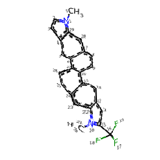 Cn1ccc2cc3c(ccc4c5cc6cc(C(F)(F)F)n(C)c6cc5ccc34)cc21